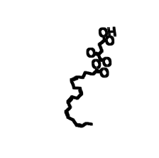 CC/C=C\C/C=C\C/C=C\C/C=C\C/C=C\CCCC(=O)OC(=O)C(=O)CCC(=O)O